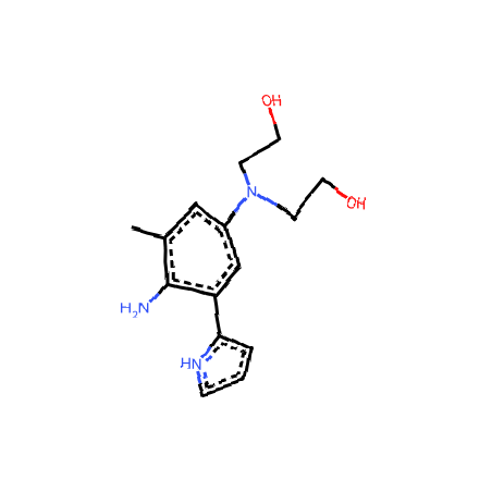 Cc1cc(N(CCO)CCO)cc(-c2ccc[nH]2)c1N